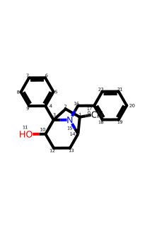 N#CC1CC2(c3ccccc3)C(O)CCC1N2Cc1ccccc1